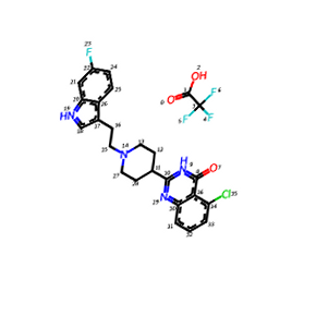 O=C(O)C(F)(F)F.O=c1[nH]c(C2CCN(CCc3c[nH]c4cc(F)ccc34)CC2)nc2cccc(Cl)c12